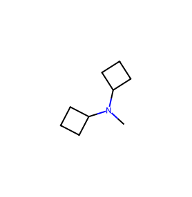 CN(C1CCC1)C1CCC1